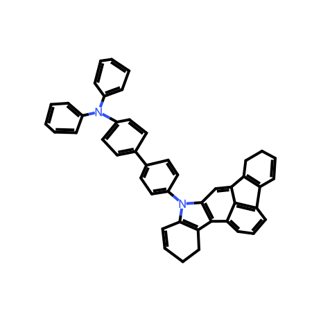 C1=CC2=C(CC1)c1cc3c(c4c(n3-c3ccc(-c5ccc(N(c6ccccc6)c6ccccc6)cc5)cc3)C=CCC4)c3cccc2c13